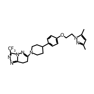 Cc1cc(C)n(CCOc2ccc(C3CCN(C4=Nn5c(nnc5C(F)(F)F)CC4)CC3)cc2)n1